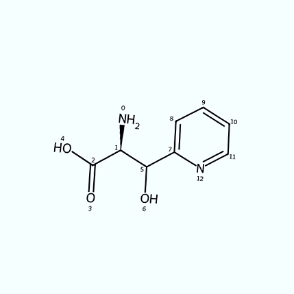 N[C@H](C(=O)O)C(O)c1ccccn1